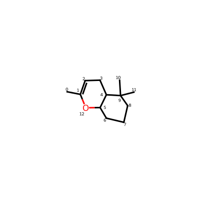 CC1=CCC2C(CCCC2(C)C)O1